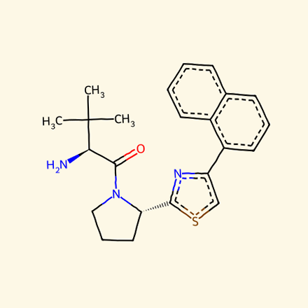 CC(C)(C)[C@H](N)C(=O)N1CCC[C@H]1c1nc(-c2cccc3ccccc23)cs1